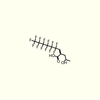 CC(O)CC(=CC(F)(F)C(F)(F)C(F)(F)C(F)(F)C(F)(F)C(F)(F)F)C(=O)O